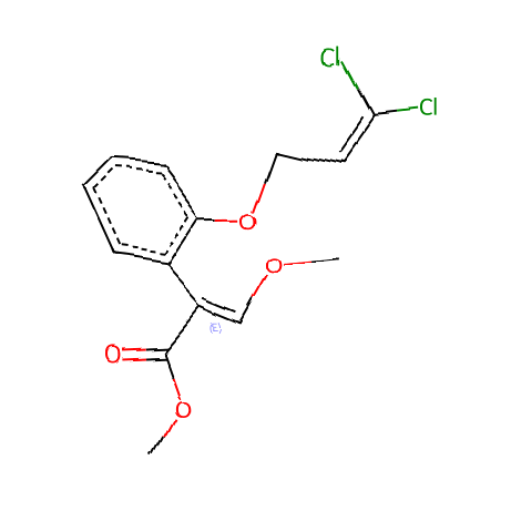 CO/C=C(/C(=O)OC)c1ccccc1OCC=C(Cl)Cl